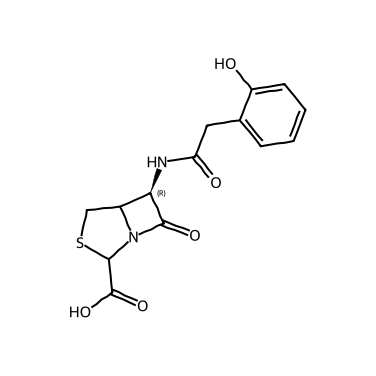 O=C(Cc1ccccc1O)N[C@H]1C(=O)N2C(C(=O)O)SCC12